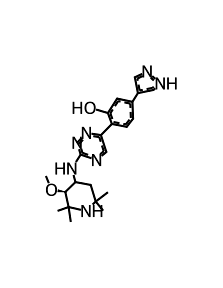 CO[C@H]1C(Nc2ncc(-c3ccc(-c4cn[nH]c4)cc3O)nn2)CC(C)(C)NC1(C)C